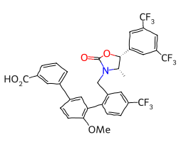 COc1ccc(-c2cccc(C(=O)O)c2)cc1-c1ccc(C(F)(F)F)cc1CN1C(=O)O[C@H](c2cc(C(F)(F)F)cc(C(F)(F)F)c2)[C@@H]1C